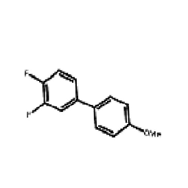 COc1ccc(-c2ccc(F)c(F)c2)cc1